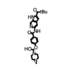 CN1CCN(C(O)Oc2ccc(C(=O)Nc3cc4cc(C(=O)C(C)(C)C)[nH]c4cn3)cc2)CC1